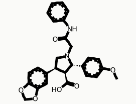 COc1ccc([C@@H]2[C@@H](C(=O)O)[C@@H](c3ccc4c(c3)OCO4)CN2CC(=O)Nc2ccccc2)cc1